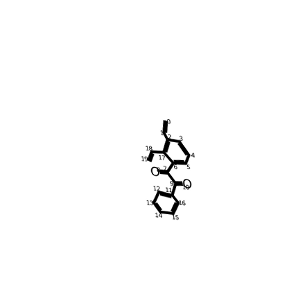 C=Cc1cccc(C(=O)C(=O)c2ccccc2)c1C=C